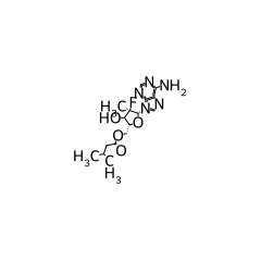 CC(C)CC(=O)OC[C@H]1O[C@@H](n2cnc3c(N)ncnc32)[C@](C)(F)[C@@H]1O